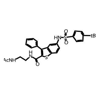 CC(=O)NCCNC(=O)c1sc2ccc(NS(=O)(=O)c3ccc(C(C)(C)C)cc3)cc2c1-c1ccccc1